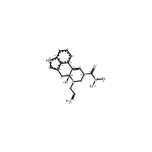 C=CCN1C[C@H](C(=O)N(CC)CC)C=C2c3cccc4[nH]cc(c34)C[C@H]21